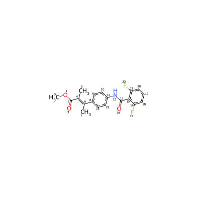 COC(=O)/C(C)=C(\C)c1ccc(NC(=O)c2c(F)cccc2F)cc1